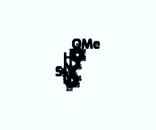 COc1ccc(Cc2[nH]c(=S)n3ccccc23)cc1